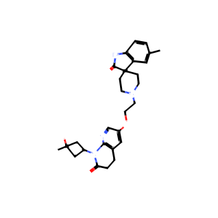 Cc1ccc2c(c1)C1(CCN(CCOc3cnc4c(c3)CCC(=O)N4C3CC(C)(O)C3)CC1)C(=O)N2